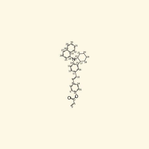 C=CC(=O)Oc1ccc(C=Cc2ccc3c(c2)C2CCCCC2N3c2cccc3ccccc23)cc1